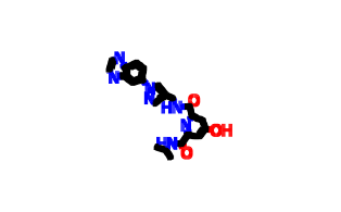 CC(C)NC(=O)C1=NC(C(=O)NCc2cnn(-c3ccc4nccnc4c3)c2)CC(O)=C1